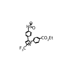 CCOC(=O)c1ccc(-n2nc(C(F)(F)F)cc2-c2ccc(C[SH](=O)=O)cc2)cc1